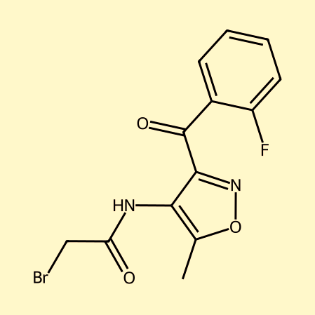 Cc1onc(C(=O)c2ccccc2F)c1NC(=O)CBr